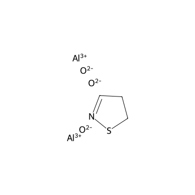 C1=NSCC1.[Al+3].[Al+3].[O-2].[O-2].[O-2]